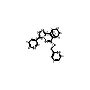 c1ccc(COc2nn3c(-c4cccnc4)nnc3c3c2C2CCC3CC2)nc1